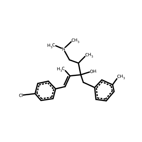 CC(=Cc1ccc(Cl)cc1)C(O)(Cc1cccc(C)c1)C(C)CN(C)C